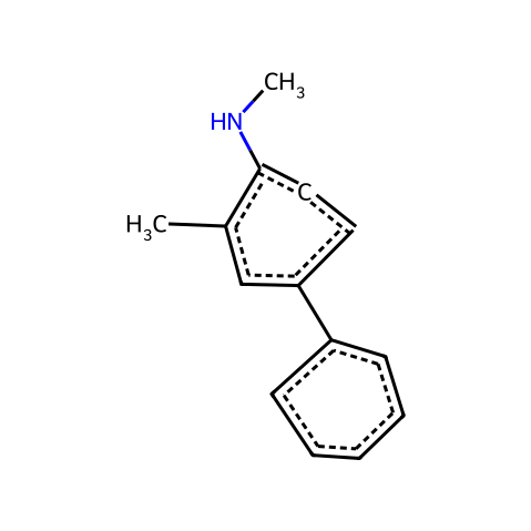 CNc1ccc(-c2ccccc2)cc1C